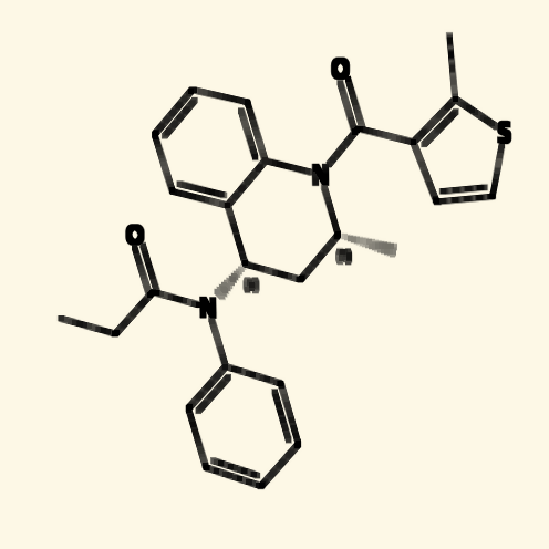 CCC(=O)N(c1ccccc1)[C@H]1C[C@@H](C)N(C(=O)c2ccsc2C)c2ccccc21